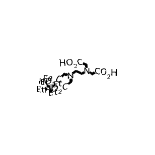 CC[N+](CC)(CC)CC.O=C(O)CN(CCN(CC(=O)O)CC(=O)O)CC(=O)O.[Fe]